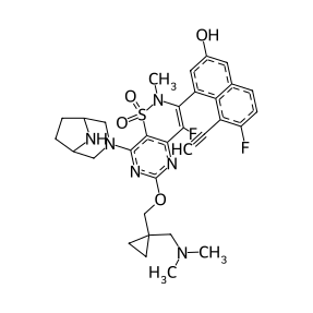 C#Cc1c(F)ccc2cc(O)cc(C3=C(F)c4nc(OCC5(CN(C)C)CC5)nc(N5CC6CCC(C5)N6)c4S(=O)(=O)N3C)c12